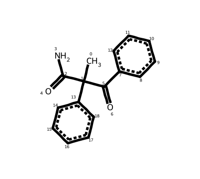 CC(C(N)=O)(C(=O)c1ccccc1)c1ccccc1